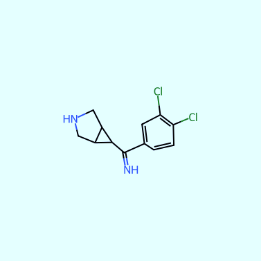 N=C(c1ccc(Cl)c(Cl)c1)C1C2CNCC21